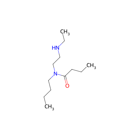 CCCCN(CCNCC)C(=O)CCC